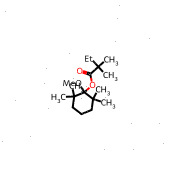 CCC(C)(C)C(=O)OC1(OC)C(C)(C)CCCC1(C)C